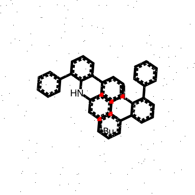 CC(C)(C)c1cc(Nc2c(-c3ccccc3)cccc2-c2ccccc2)cc(Nc2c(-c3ccccc3)cccc2-c2ccccc2)c1